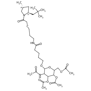 CC(=O)NC1C(OCCCCC(=O)NCCCCCC(=O)N2C[C@H](C)C[C@H]2CC(C)(C)C)OC(COC(C)=O)C(OC(C)=O)C1OC(C)=O